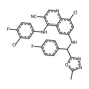 Cc1nnc(C(Nc2cc(Cl)c3ncc(C#N)c(Nc4ccc(F)c(Cl)c4)c3c2)c2ccc(F)cc2)o1